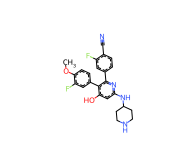 COc1ccc(-c2c(O)cc(NC3CCNCC3)nc2-c2ccc(C#N)c(F)c2)cc1F